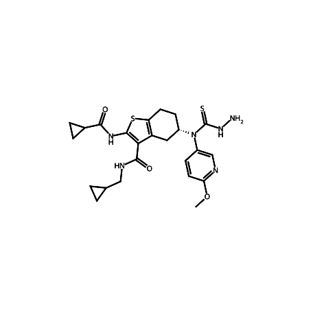 COc1ccc(N(C(=S)NN)[C@H]2CCc3sc(NC(=O)C4CC4)c(C(=O)NCC4CC4)c3C2)cn1